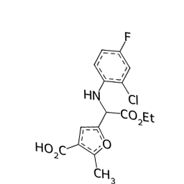 CCOC(=O)C(Nc1ccc(F)cc1Cl)c1cc(C(=O)O)c(C)o1